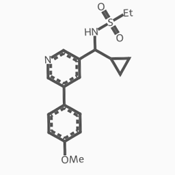 CCS(=O)(=O)NC(c1cncc(-c2ccc(OC)cc2)c1)C1CC1